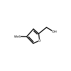 CSc1coc(CO)c1